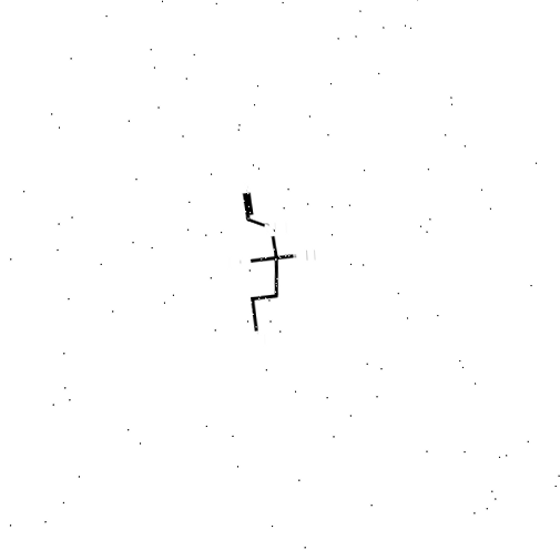 CCCC(C)(C)NC=S